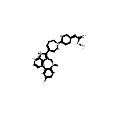 CN1Cc2c(C3=CCCN(C4CCC(=CC(=O)OC(C)(C)C)CC4)CC3)[nH]c3nccc(c23)-c2cc(F)ccc21